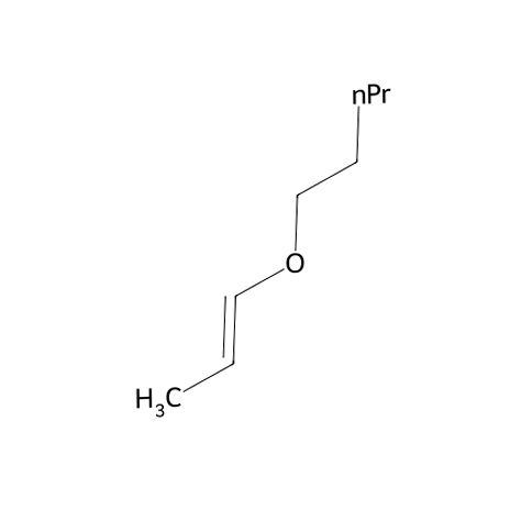 CC=COCCCCC